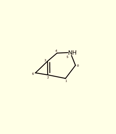 C1CC2=C(CN1)C2